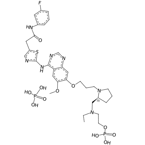 CCN(CCOP(=O)(O)O)C[C@@H]1CCCN1CCCOc1cc2ncnc(Nc3ncc(CC(=O)Nc4cccc(F)c4)s3)c2cc1OC.O=P(O)(O)O